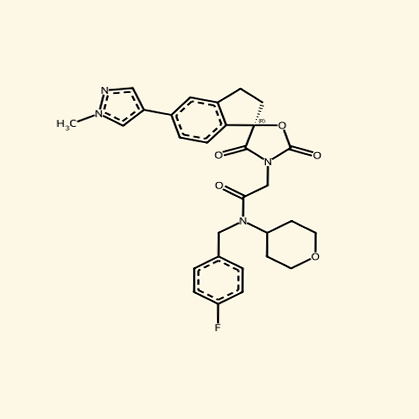 Cn1cc(-c2ccc3c(c2)CC[C@@]32OC(=O)N(CC(=O)N(Cc3ccc(F)cc3)C3CCOCC3)C2=O)cn1